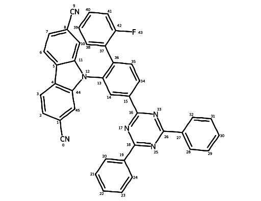 N#Cc1ccc2c3ccc(C#N)cc3n(-c3cc(-c4nc(-c5ccccc5)nc(-c5ccccc5)n4)ccc3-c3ccccc3F)c2c1